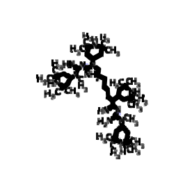 CN(C(=N)/N=C(\N)N(CCCCCCC(C(=N)/N=C(\N)N(C)C1CC(C)(C)NC(C)(C)C1)C1CC(C)(C)NC(C)(C)C1)C1CC(C)(C)NC(C)(C)C1)C1CC(C)(C)NC(C)(C)C1